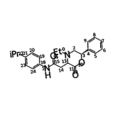 CCN1C[C@@H](c2ccccc2)OC(=O)C1CC(=O)Nc1ccc(C(C)C)cc1